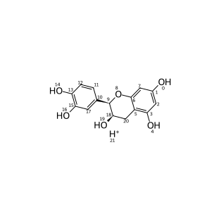 Oc1cc(O)c2c(c1)O[C@H](c1ccc(O)c(O)c1)[C@H](O)C2.[H+]